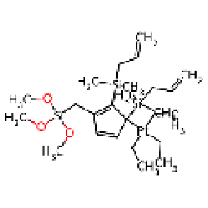 C=CC[Si](C)(C)C1=C(C[Si](OC)(OC)OC)C=C[C]1([Si](C)(C)CC=C)[Pt]([CH2]C)([CH2]C)[CH2]C